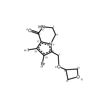 O=C1NCCn2c(COC3COC3)c(Br)c(I)c21